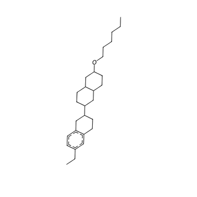 CCCCCCOC1CCC2CC(C3CCc4cc(CC)ccc4C3)CCC2C1